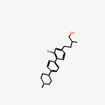 CCc1cc(CCC(C)CO)ccc1-c1ccc(C2CCC(C)CC2)cc1